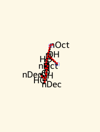 CCCCCCCC/C=C\CCCCCC[C@H](O)CN(CCCSSCCN1CCN(CCOC(=O)CCCN(CC(O)CCCCCCCCCCCC)CC(O)CCCCCCCCCCCC)CC1)C[C@@H](O)CCCCCC/C=C\CCCCCCCC